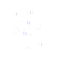 CCCCC(CC)CN1C(=O)C2=C(c3ccco3)N(CC(C)CC)C(=O)C2=C1c1ccco1